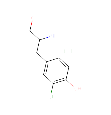 Cl.NC(CO)Cc1ccc(O)c(Cl)c1